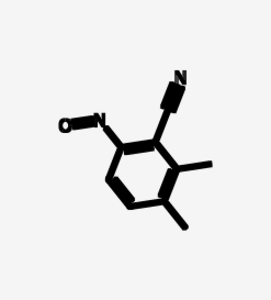 Cc1ccc(N=O)c(C#N)c1C